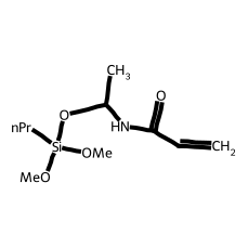 C=CC(=O)NC(C)O[Si](CCC)(OC)OC